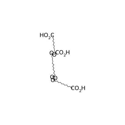 O=C(O)CCCCCCCCCCCC(=O)OC(=O)CCCCCCCCCCCCC(=O)OC(CCCCCCCCCCC(=O)O)C(=O)O